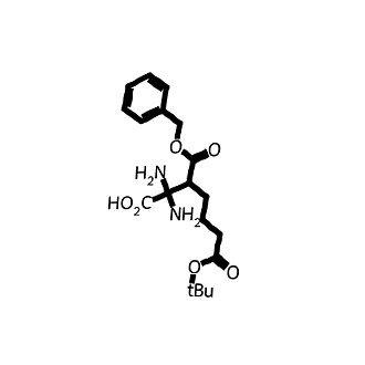 CC(C)(C)OC(=O)CCCC(C(=O)OCc1ccccc1)C(N)(N)C(=O)O